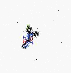 CN1CCCC[C@H]1C(=O)NC(C)(C)C(=O)Nc1nc(-c2ccc(F)cc2)n(Cc2ccccc2)n1